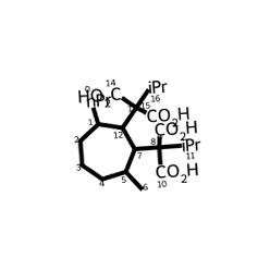 CCCC1CCCC(C)C(C(C(=O)O)(C(=O)O)C(C)C)C1C(C(=O)O)(C(=O)O)C(C)C